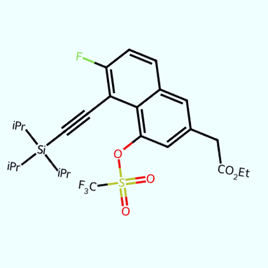 CCOC(=O)Cc1cc(OS(=O)(=O)C(F)(F)F)c2c(C#C[Si](C(C)C)(C(C)C)C(C)C)c(F)ccc2c1